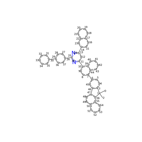 CC1(C)c2ccc(-c3ccc(-c4cc(-c5ccc6ccccc6c5)nc(-c5ccc(-c6ccccc6)cc5)n4)c4ccccc34)cc2-c2ccc3ccccc3c21